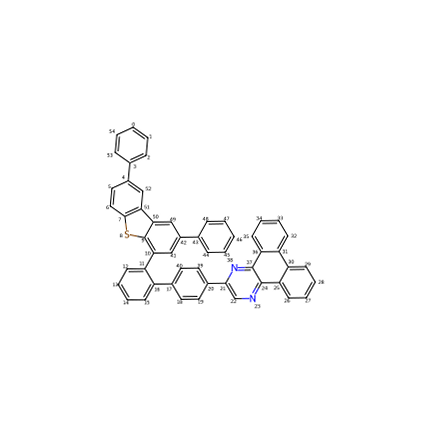 c1ccc(-c2ccc3sc4c(-c5ccccc5-c5ccc(-c6cnc7c8ccccc8c8ccccc8c7n6)cc5)cc(-c5ccccc5)cc4c3c2)cc1